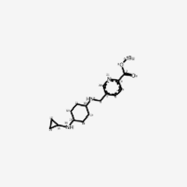 CC(C)(C)OC(=O)c1ccc(CNC2CCC(NC3CC3)CC2)cn1